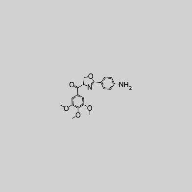 COc1cc(C(=O)C2COC(c3ccc(N)cc3)=N2)cc(OC)c1OC